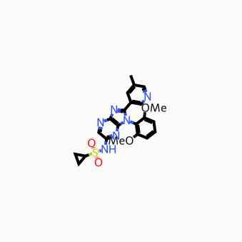 COc1cccc(OC)c1-n1c(-c2cncc(C)c2)nc2ncc(NS(=O)(=O)C3CC3)nc21